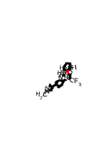 Cn1cc(-c2ccc3cnc(NC(=O)N4[C@@H]5CC[C@H]4C[C@@H](NCCC(F)(F)F)C5)nc3c2)cn1